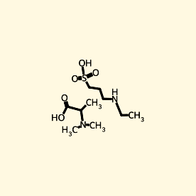 CC(C(=O)O)N(C)C.CCNCCCS(=O)(=O)O